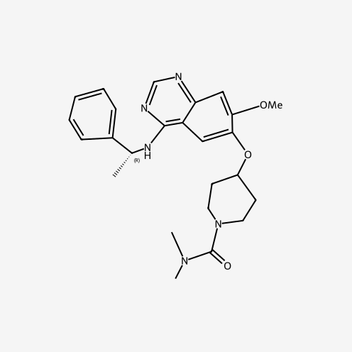 COc1cc2ncnc(N[C@H](C)c3ccccc3)c2cc1OC1CCN(C(=O)N(C)C)CC1